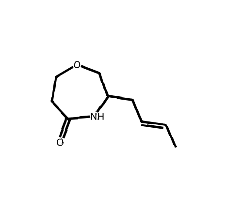 C/C=C/CC1COCCC(=O)N1